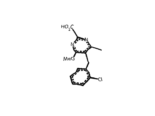 COc1nc(C(=O)O)nc(C)c1Cc1ccccc1Cl